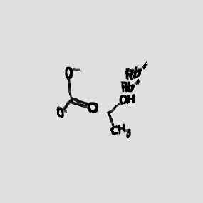 CCO.O=C([O-])[O-].[Rb+].[Rb+]